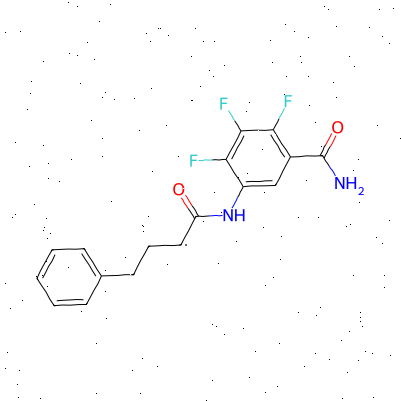 NC(=O)c1cc(NC(=O)[CH]CCc2ccccc2)c(F)c(F)c1F